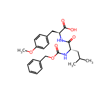 COc1ccc(C[C@H](NC(=O)[C@H](CC(C)C)NC(=O)OCc2ccccc2)C(=O)O)cc1